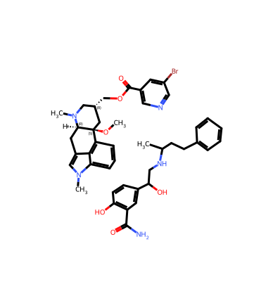 CC(CCc1ccccc1)NCC(O)c1ccc(O)c(C(N)=O)c1.CO[C@]12C[C@@H](COC(=O)c3cncc(Br)c3)CN(C)[C@@H]1Cc1cn(C)c3cccc2c13